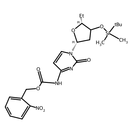 CC[C@H]1O[C@@H](n2ccc(NC(=O)OCc3ccccc3[N+](=O)[O-])nc2=O)CC1O[Si](C)(C)C(C)(C)C